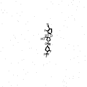 N#Cc1ccc(O[C@H]2CN(S(=O)(=O)c3ccc(C(F)(F)F)c(F)c3)C[C@@]2(O)CO)cc1F